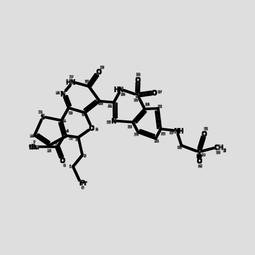 CC(C)CCC(OC(=O)C(C)(C)C)Oc1c(-c2cccs2)n[nH]c(=O)c1C1=Nc2ccc(NCS(C)(=O)=O)cc2S(=O)(=O)N1